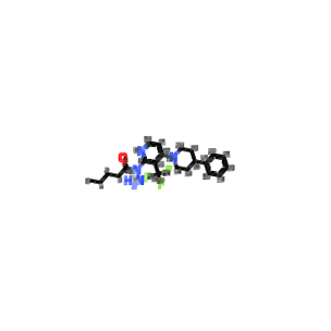 CCCCC(=O)N(N)c1nccc(N2CCC(c3ccccc3)CC2)c1C(F)(F)F